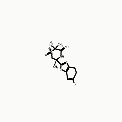 CC1(C)C(=N)N[C@](C)(c2nc3c(s2)C=C(Br)CC3)CS1(=O)=O